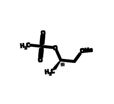 COC[C@H](C)OS(C)(=O)=O